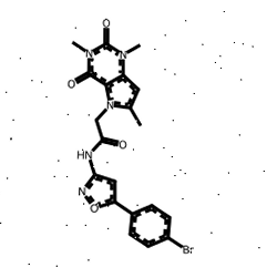 Cc1cc2c(c(=O)n(C)c(=O)n2C)n1CC(=O)Nc1cc(-c2ccc(Br)cc2)on1